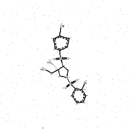 N#Cc1ccc(S(=O)(=O)[C@H]2CN(S(=O)(=O)c3ccccc3Br)C[C@@]2(O)CO)cc1